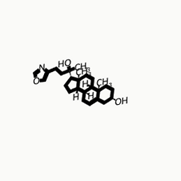 CC(O)(CCc1cocn1)[C@H]1CC[C@H]2[C@@H]3CC=C4C[C@@H](O)CC[C@]4(C)[C@H]3CC[C@]12C